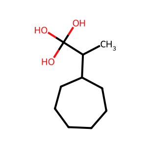 CC(C1CCCCCC1)C(O)(O)O